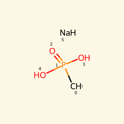 [CH]P(=O)(O)O.[NaH]